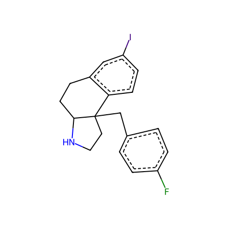 Fc1ccc(CC23CCNC2CCc2cc(I)ccc23)cc1